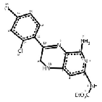 CCOC(=O)Nc1cc2c(c(N)n1)N=C(c1ccc(Cl)cc1Cl)CN2